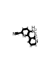 N#Cc1ccc(N)c(-c2cccnc2F)n1